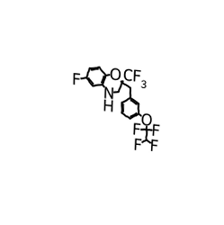 Fc1ccc2c(c1)NCC(Cc1cccc(OC(F)(F)C(F)F)c1)(C(F)(F)F)O2